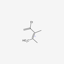 C=C(CC)/C(C)=C(/C)C(=O)O